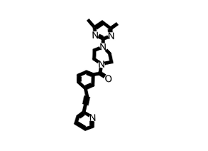 Cc1cc(C)nc(N2CCN(C(=O)c3cccc(C#Cc4ccccn4)c3)CC2)n1